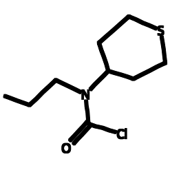 CCCN(C(=O)Cl)C1CCSCC1